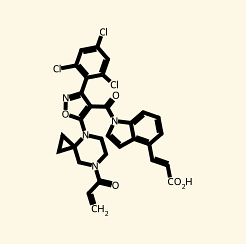 C=CC(=O)N1CCN(c2onc(-c3c(Cl)cc(Cl)cc3Cl)c2C(=O)n2ccc3c(/C=C/C(=O)O)cccc32)C2(CC2)C1